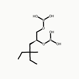 CCC(C)(CC)C[C@@H](CON(O)O)ON(O)O